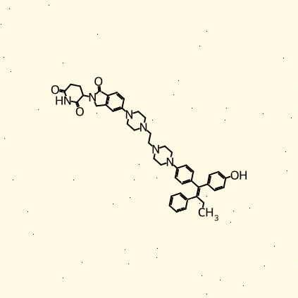 CC/C(=C(\c1ccc(O)cc1)c1ccc(N2CCN(CCN3CCN(c4ccc5c(c4)CN(C4CCC(=O)NC4=O)C5=O)CC3)CC2)cc1)c1ccccc1